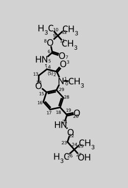 CN1C(=O)[C@@H](NC(=O)OC(C)(C)C)COc2ccc(C(=O)NOCC(C)(C)O)cc21